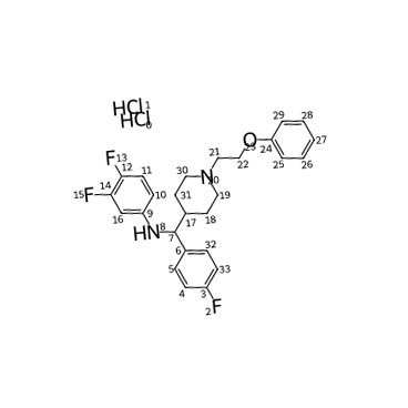 Cl.Cl.Fc1ccc(C(Nc2ccc(F)c(F)c2)C2CCN(CCOc3ccccc3)CC2)cc1